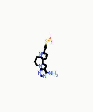 Nc1ncnc2c1cc1n2CCCc2nc(C#CSP(I)I)ccc2-1